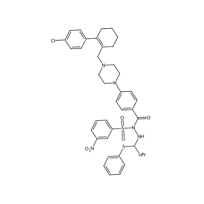 CCCC(NN(C(=O)c1ccc(N2CCN(CC3=C(c4ccc(Cl)cc4)CCCC3)CC2)cc1)S(=O)(=O)c1cccc([N+](=O)[O-])c1)Sc1ccccc1